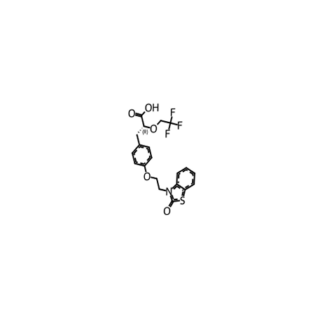 O=C(O)[C@@H](Cc1ccc(OCCn2c(=O)sc3ccccc32)cc1)OCC(F)(F)F